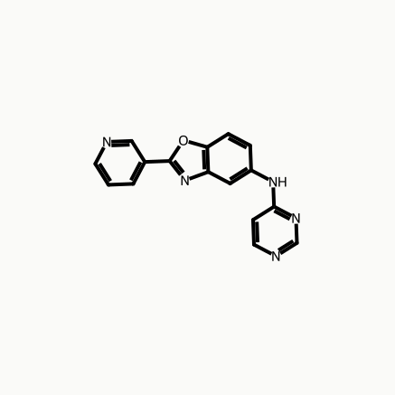 c1cncc(-c2nc3cc(Nc4ccncn4)ccc3o2)c1